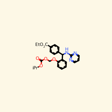 CCOC(=O)c1ccc(C(Nc2ncccn2)c2ccccc2OCOC(=O)OC(C)C)cc1